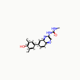 CNC(=O)Nc1cnc2ccc(-c3cc(C)c(O)c(C)c3)cc2n1